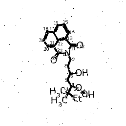 CCC(C)(C)C(CC(O)CCN1C(=O)c2cccc3cccc(c23)C1=O)OO